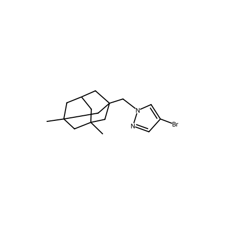 CC12CC3CC(C)(C1)CC(Cn1cc(Br)cn1)(C3)C2